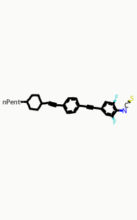 CCCCCC1CCC(C#Cc2ccc(C#Cc3cc(F)c(N=C=S)c(F)c3)cc2)CC1